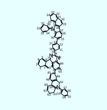 C=C1CC=CC=C1c1nc(-c2ccc(-c3ccc4c5ccc6ccccc6c5n(-c5ccccc5)c4c3)cc2)nc2c1=CC(C1C=CC3=C(C1)CN(c1ccccc1)C1=C3C=CCC1)[C@H](C)C=2